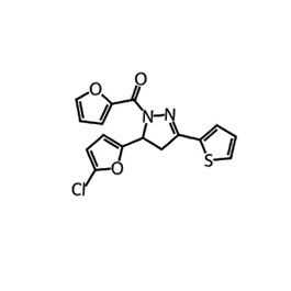 O=C(c1ccco1)N1N=C(c2cccs2)CC1c1ccc(Cl)o1